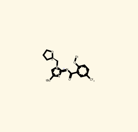 CCOc1ccc(C(F)(F)F)cc1C(=O)/N=c1\sc(C(C)(C)C)cn1C[C@H]1CCCO1